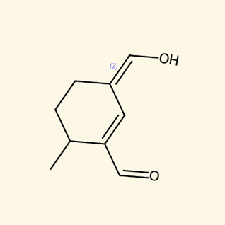 CC1CC/C(=C/O)C=C1C=O